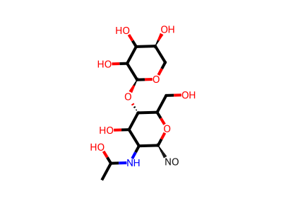 CC(O)NC1C(O)[C@H](O[C@@H]2OC[C@H](O)C(O)C2O)C(CO)O[C@H]1N=O